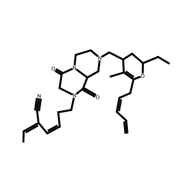 C=C/C=C\CC1=C(C)C(CN2CCN3C(=O)CN(CC/C=C\C(C#N)=C/C)C(=O)C3C2)CC(CC)O1